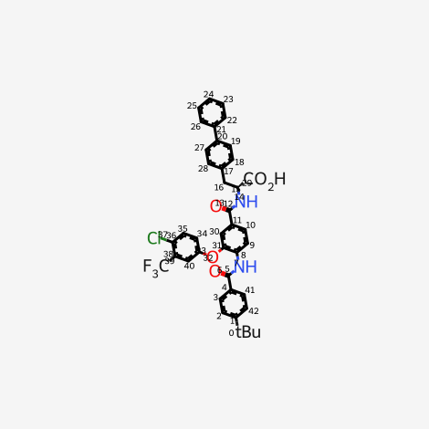 CC(C)(C)c1ccc(C(=O)Nc2ccc(C(=O)N[C@@H](Cc3ccc(-c4ccccc4)cc3)C(=O)O)cc2Oc2ccc(Cl)c(C(F)(F)F)c2)cc1